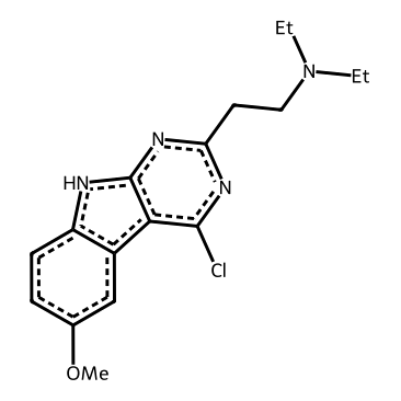 CCN(CC)CCc1nc(Cl)c2c(n1)[nH]c1ccc(OC)cc12